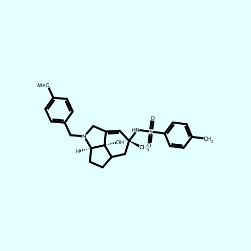 COc1ccc(CN2CC3=C[C@](C)(NS(=O)(=O)c4ccc(C)cc4)CC4CC[C@@H]2[C@@]34O)cc1